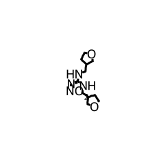 O=[N+]([O-])N=C(NCC1CCOC1)NCC1CCOC1